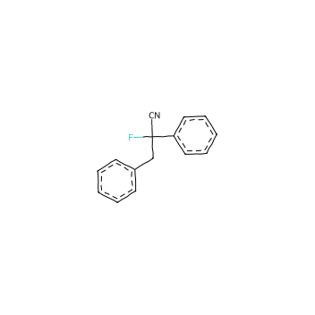 N#CC(F)(Cc1ccccc1)c1ccccc1